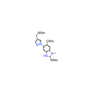 CNCc1cnn(-c2cc3c(cc2OC)N(C)C(NC)N3)c1